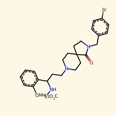 CCOC(=O)NC(CCN1CCC2(CC1)CCN(Cc1ccc(Br)cc1)C2=O)c1ccccc1OC